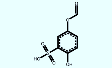 O=COc1ccc(O)c(S(=O)(=O)O)c1